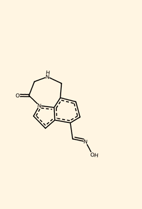 O=C1CNCc2ccc(C=NO)c3ccn1c23